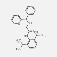 CC(C)c1cccc(C(C)C)c1NC(=O)CNC(c1ccccn1)c1ccccn1